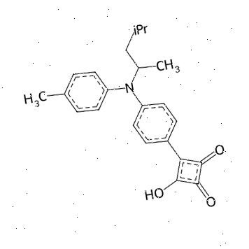 Cc1ccc(N(c2ccc(-c3c(O)c(=O)c3=O)cc2)C(C)CC(C)C)cc1